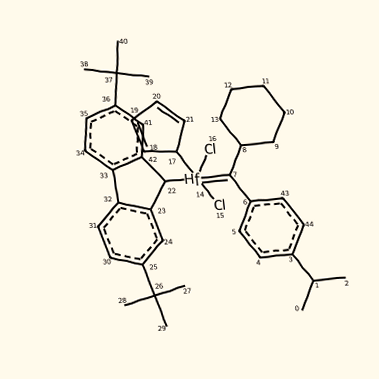 CC(C)c1ccc([C](C2CCCCC2)=[Hf]([Cl])([Cl])([CH]2C=CC=C2)[CH]2c3cc(C(C)(C)C)ccc3-c3ccc(C(C)(C)C)cc32)cc1